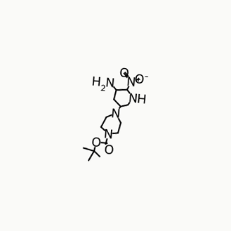 CC(C)(C)OC(=O)N1CCN(C2CNC([N+](=O)[O-])C(N)C2)CC1